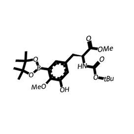 COC(=O)[C@H](Cc1cc(O)c(OC)c(B2OC(C)(C)C(C)(C)O2)c1)NC(=O)OC(C)(C)C